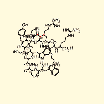 CC(C)C[C@H](NC(=O)[C@H](Cc1c[nH]c2ccccc12)NC(=O)[C@H](C)NC(=O)[C@H](CC(C)C)NC(=O)[C@@H](N)Cc1c[nH]c2ccccc12)C(=O)N[C@@H](Cc1ccc(O)cc1)C(=O)N[C@@H](CC(C)C)C(=O)N[C@@H](CCCNC(=N)N)C(=O)N[C@@H](CCCCN)C(=O)N[C@@H](CCCCN)C(=O)N[C@@H](CCCNC(=N)N)C(=O)O